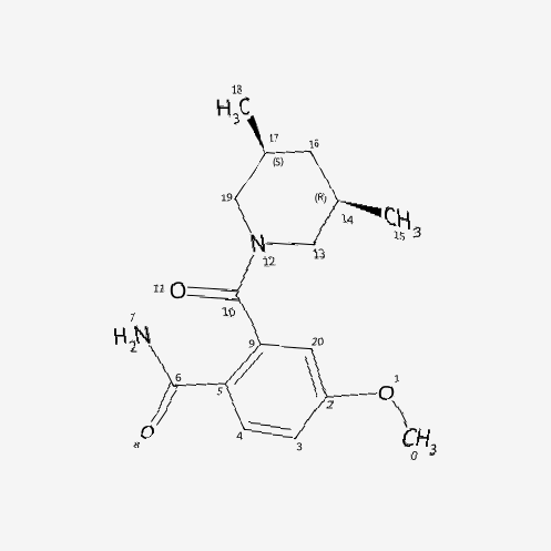 COc1ccc(C(N)=O)c(C(=O)N2C[C@H](C)C[C@H](C)C2)c1